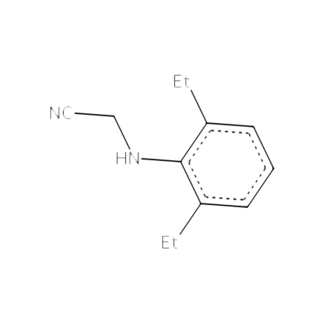 CCc1cccc(CC)c1NCC#N